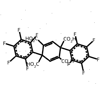 O=C(O)C1=CC(C(=O)O)(c2c(F)c(F)c(F)c(F)c2F)C(C(=O)O)=CC1(C(=O)O)c1c(F)c(F)c(F)c(F)c1F